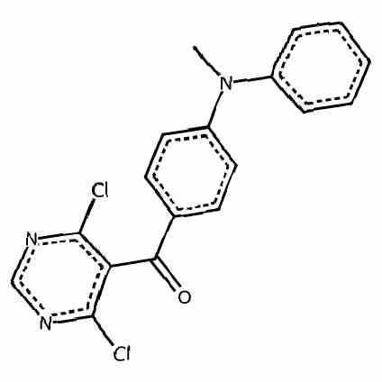 CN(c1ccccc1)c1ccc(C(=O)c2c(Cl)ncnc2Cl)cc1